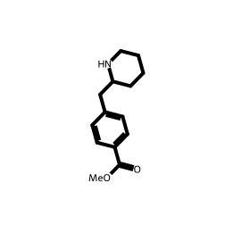 COC(=O)c1ccc(CC2CCCCN2)cc1